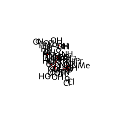 CN[C@H](CC(C)C)C(=O)N[C@H]1C(=O)N[C@@H](CC(N)=O)C(=O)N[C@H]2C(=O)N[C@H]3C(=O)N[C@H](C(=O)N[C@@H](C(=O)NOCCN4CCOCC4)c4cc(O)cc(O)c4-c4cc3ccc4O)[C@H](O)c3ccc(c(Cl)c3)Oc3cc2cc(c3O[C@@H]2O[C@H](CO)[C@@H](O)[C@H](O)[C@H]2O[C@H]2C[C@](C)(NCCN3CCN(C(=O)NCc4ccc(Cl)c(Cl)c4)CC3)[C@H](O)[C@H](C)O2)Oc2ccc(cc2Cl)[C@H]1O